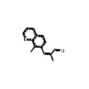 C/C(C=N)=C/c1ccc2cccnc2c1C